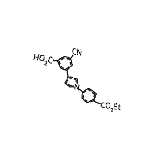 CCOC(=O)c1ccc(-n2ccc(-c3cc(C#N)cc(C(=O)O)c3)c2)cc1